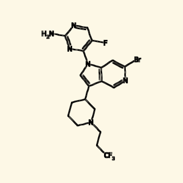 Nc1ncc(F)c(-n2cc(C3CCCN(CCC(F)(F)F)C3)c3cnc(Br)cc32)n1